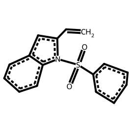 C=Cc1cc2ccccc2n1S(=O)(=O)c1ccccc1